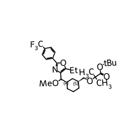 CCc1oc(-c2ccc(C(F)(F)F)cc2)nc1C(OC)[C@@H]1CCC[C@H](COC(C)(C)C(=O)OC(C)(C)C)C1